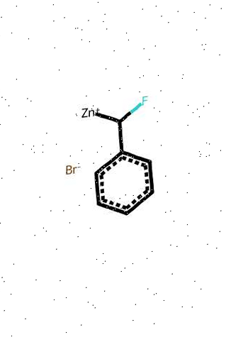 F[CH]([Zn+])c1ccccc1.[Br-]